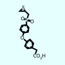 O=C(O)Cc1ccc(Oc2ccc(S(=O)(=O)CC3CS3)cc2)cc1